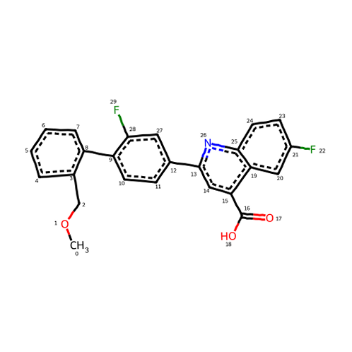 COCc1ccccc1-c1ccc(-c2cc(C(=O)O)c3cc(F)ccc3n2)cc1F